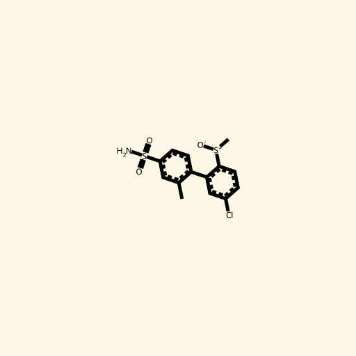 Cc1cc(S(N)(=O)=O)ccc1-c1cc(Cl)ccc1[S+](C)[O-]